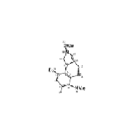 CCN1CC(C)=C(NC)C2=C1N1CN(OC)C=C1C=N2